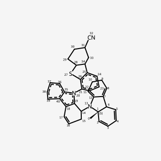 C[C@]12C=CC=CC1C1=CCCC=C1N2C1CC=Cc2c1n(-c1cccc3c1SC1CCC(C#N)CC31)c1ccccc21